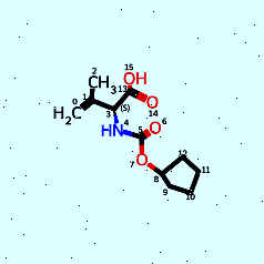 C=C(C)[C@H](NC(=O)OC1CCCC1)C(=O)O